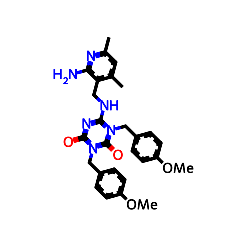 COc1ccc(Cn2c(NCc3c(C)cc(C)nc3N)nc(=O)n(Cc3ccc(OC)cc3)c2=O)cc1